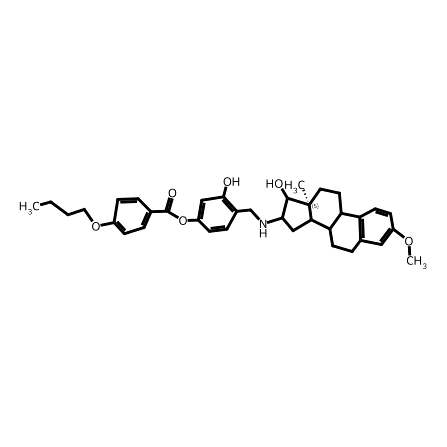 CCCCOc1ccc(C(=O)Oc2ccc(CNC3CC4C5CCc6cc(OC)ccc6C5CC[C@]4(C)C3O)c(O)c2)cc1